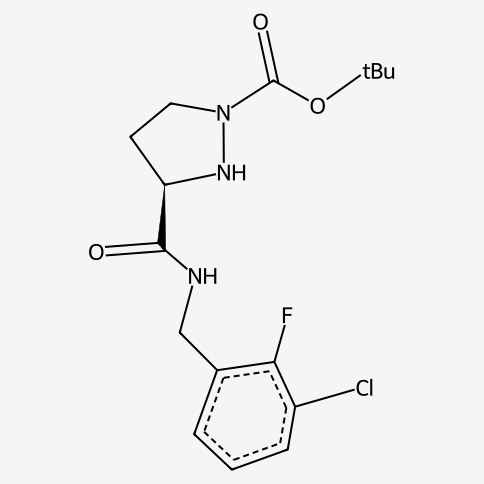 CC(C)(C)OC(=O)N1CC[C@H](C(=O)NCc2cccc(Cl)c2F)N1